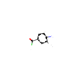 N#Cc1cc(C(=O)Cl)ccc1N